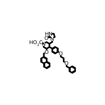 O=C(O)N1CC(CN2CCNC2=O)C(c2ccc(OCCCOCc3ccccc3)cc2)C(OCc2ccc3ccccc3c2)C1